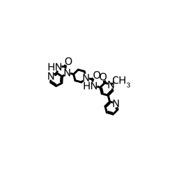 Cn1cc(-c2ccccn2)cc(NC(=O)N2CCC(n3c(=O)[nH]c4ncccc43)CC2)c1=O